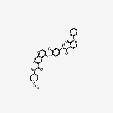 CN1CCC(NC(=O)c2cc3c(Oc4ccc(NC(=O)c5cccn(-c6ccccc6)c5=O)cc4F)ccnc3cn2)CC1